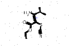 CCOC(=O)/C(SC#N)=C(\N)C(C)C